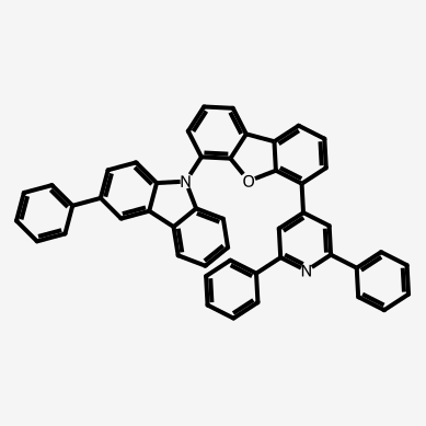 c1ccc(-c2ccc3c(c2)c2ccccc2n3-c2cccc3c2oc2c(-c4cc(-c5ccccc5)nc(-c5ccccc5)c4)cccc23)cc1